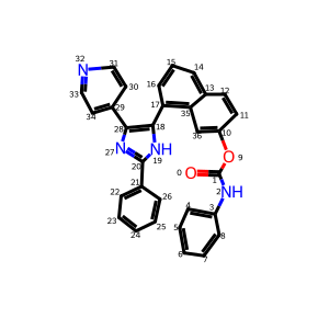 O=C(Nc1ccccc1)Oc1ccc2cccc(-c3[nH]c(-c4ccccc4)nc3-c3ccncc3)c2c1